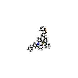 c1ccc(-c2ccc3c(c2)c2ccccc2n3-c2cccc3c2sc2c(-c4ccccc4)ccc(-c4ccc5c(c4)sc4ccccc45)c23)cc1